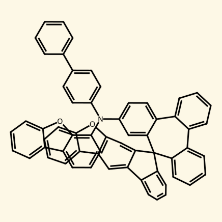 c1ccc(-c2ccc(N(c3ccc4c(c3)C3(c5ccccc5-c5ccccc5-4)c4ccccc4-c4cc5c(cc43)oc3ccccc35)c3cccc4c3oc3ccccc34)cc2)cc1